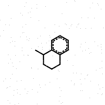 CC1CCCc2[c]cccc21